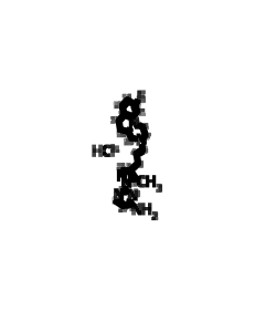 Cc1c(CC=CN2CCN3c4cc(F)ccc4CCC3C2)cnn1-c1nccc(N)n1.Cl